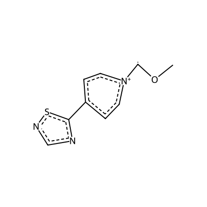 CO[CH][n+]1ccc(-c2ncns2)cc1